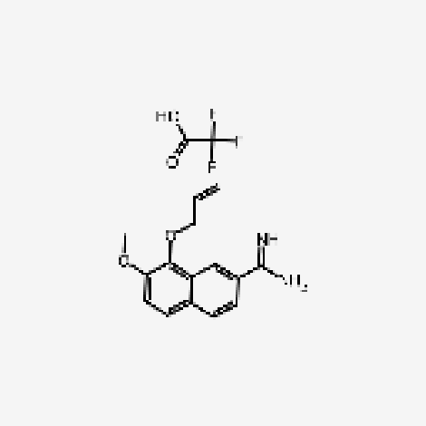 C=CCOc1c(OC)ccc2ccc(C(=N)N)cc12.O=C(O)C(F)(F)F